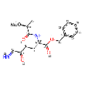 CO[C@@H](C)C(=O)N[C@@H](CCC(=O)C=N)C(=O)OCc1ccccc1